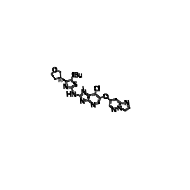 Cn1c(Nc2nc([C@H]3CCOC3)c(C(C)(C)C)s2)nc2ncc(Oc3cnn4ccnc4c3)c(Cl)c21